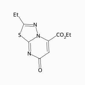 CCOC(=O)c1cc(=O)nc2sc(CC)nn12